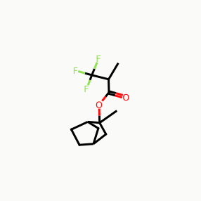 CC(C(=O)OC1(C)CC2CCC1C2)C(F)(F)F